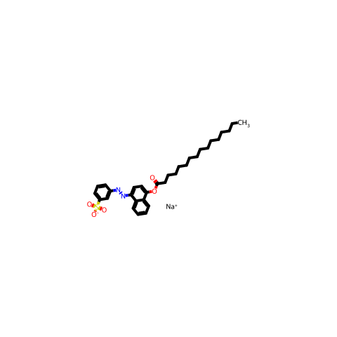 CCCCCCCCCCCCCCCC(=O)Oc1ccc(/N=N/c2cccc(S(=O)(=O)[O-])c2)c2ccccc12.[Na+]